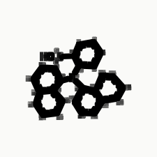 O=S(=O)(O)c1ccccc1P(c1cccc2ccccc12)c1cccc2ccccc12